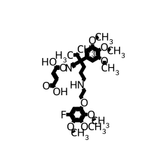 COc1cc(C(C#N)(CCCNCCOc2cc(F)c(OC)c(OC)c2OC)C(C)C)cc(OC)c1OC.O=C(O)C=CC(=O)O